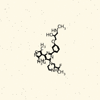 CNCC(O)COc1cccc(-c2nc(-c3c(C)noc3C)c(C)c(N3CCNC(C(C)F)C3)n2)c1